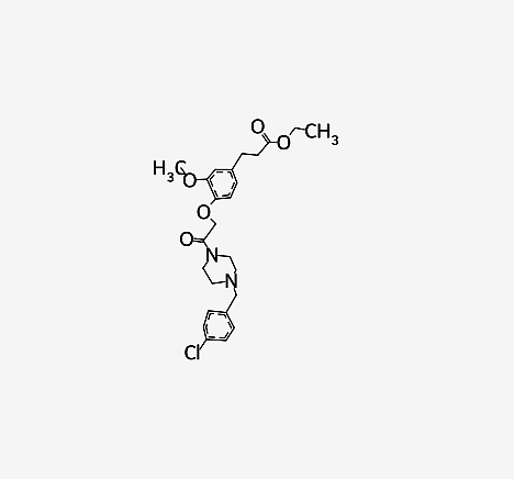 CCOC(=O)CCc1ccc(OCC(=O)N2CCN(Cc3ccc(Cl)cc3)CC2)c(OC)c1